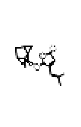 CC(C)=CC1=CC(=O)OC1OC1CC2CC3CC31C2(C)C